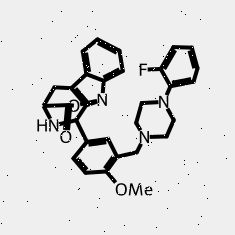 COc1ccc(C2NC3Cc4c2n(c2ccccc42)OC3=O)cc1CN1CCN(c2ccccc2F)CC1